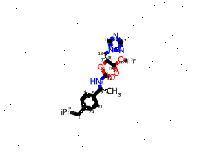 CC(C)Cc1ccc([C@H](C)NC(=O)O[C@H](Cn2cncn2)C(=O)OC(C)C)cc1